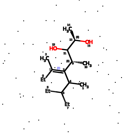 CC/C(C)=C(\C(C)C(CC)CC)[C@@H](C)C(O)[C@@H](C)O